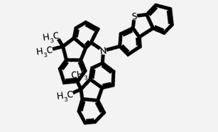 CC1(C)c2ccccc2-c2ccc(N(c3ccc4c(c3)sc3ccccc34)c3cccc4c3-c3ccccc3C4(C)C)cc21